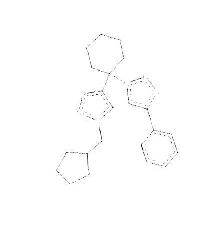 c1ccc(-c2cn(C3(c4cn(CC5CCCC5)nn4)CCCCC3)nn2)cc1